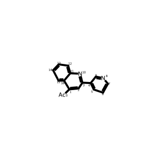 CC(=O)c1cc(-c2cccnc2)nc2ccccc12